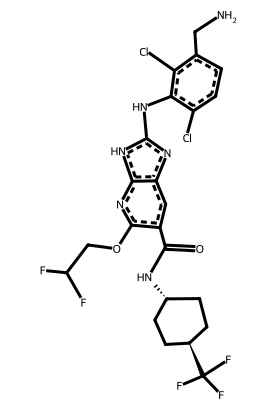 NCc1ccc(Cl)c(Nc2nc3cc(C(=O)N[C@H]4CC[C@H](C(F)(F)F)CC4)c(OCC(F)F)nc3[nH]2)c1Cl